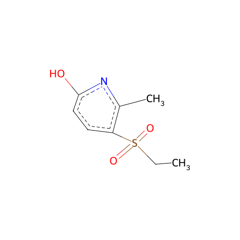 CCS(=O)(=O)c1ccc(O)nc1C